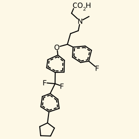 CN(CCC(Oc1ccc(C(F)(F)c2ccc(C3CCCC3)cc2)cc1)c1ccc(F)cc1)CC(=O)O